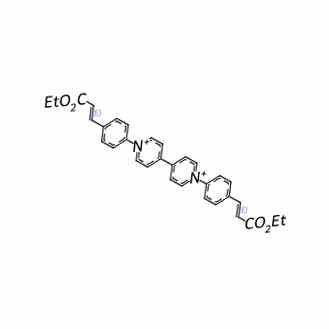 CCOC(=O)/C=C/c1ccc(-[n+]2ccc(-c3cc[n+](-c4ccc(/C=C/C(=O)OCC)cc4)cc3)cc2)cc1